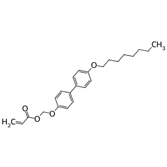 C=CC(=O)OCOc1ccc(-c2ccc(OCCCCCCCC)cc2)cc1